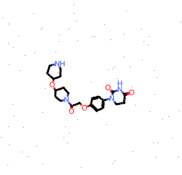 O=C1CCN(c2ccc(OCC(=O)N3CCC(OC4CCNCC4)CC3)cc2)C(=O)N1